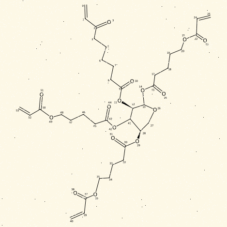 C=CC(=O)CCCCCC(=O)O[C@H]1C(OC(=O)CCCCOC(=O)C=C)OC[C@@H](OC(=O)CCCCOC(=O)C=C)C1OC(=O)CCCCOC(=O)C=C